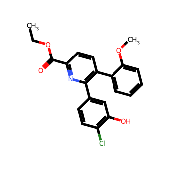 CCOC(=O)c1ccc(-c2ccccc2OC)c(-c2ccc(Cl)c(O)c2)n1